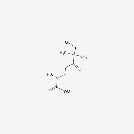 COC(=O)C(C)CSC(=O)C(C)(C)CCl